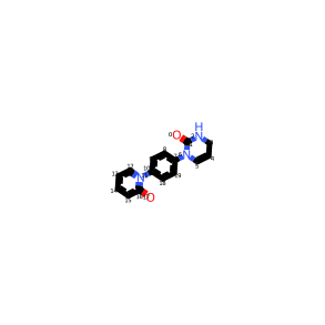 O=C1NCC=CN1c1ccc(-n2ccccc2=O)cc1